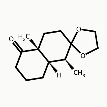 C[C@H]1[C@@H]2CCCC(=O)[C@]2(C)CCC12OCCO2